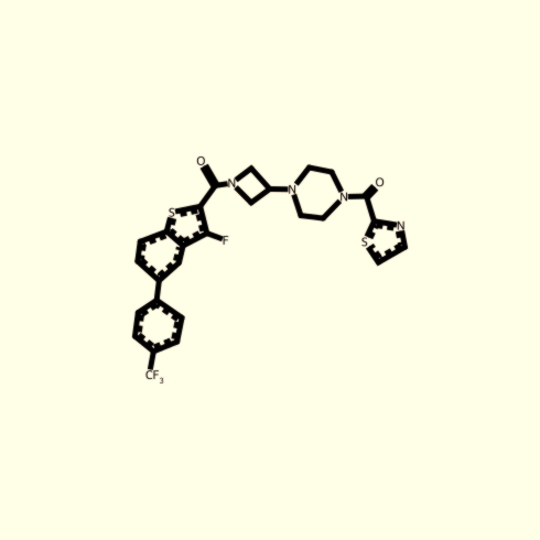 O=C(c1nccs1)N1CCN(C2CN(C(=O)c3sc4ccc(-c5ccc(C(F)(F)F)cc5)cc4c3F)C2)CC1